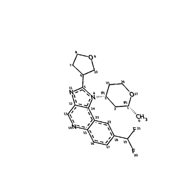 C[C@@H]1C[C@H](n2c(C3CCOC3)nc3cnc4ccc(C(F)F)cc4c32)CCO1